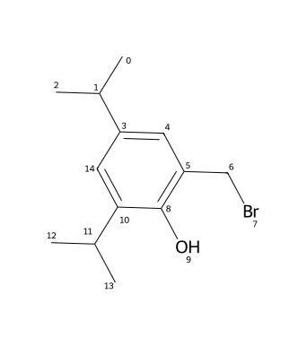 CC(C)c1cc(CBr)c(O)c(C(C)C)c1